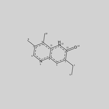 CCc1cc2ncc(C)c(C)c2[nH]c1=O